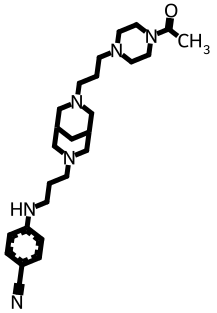 CC(=O)N1CCN(CCCN2CC3CC(CN(CCCNc4ccc(C#N)cc4)C3)C2)CC1